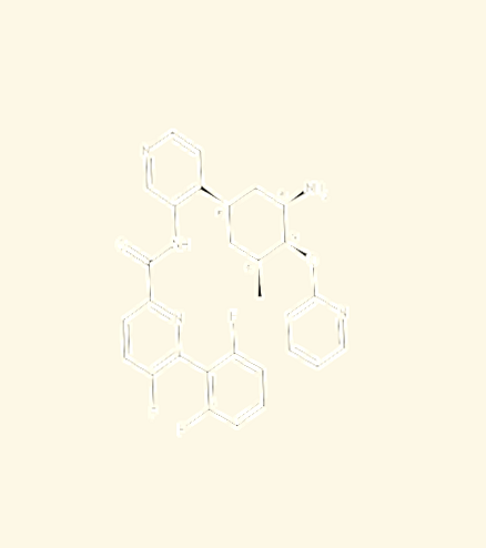 C[C@H]1C[C@@H](c2ccncc2NC(=O)c2ccc(F)c(-c3c(F)cccc3F)n2)C[C@@H](N)[C@H]1Oc1ccccn1